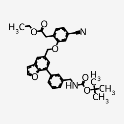 CCOC(=O)Cc1ccc(C#N)cc1OCc1cc(-c2cccc(CNC(=O)OC(C)(C)C)c2)c2occc2c1